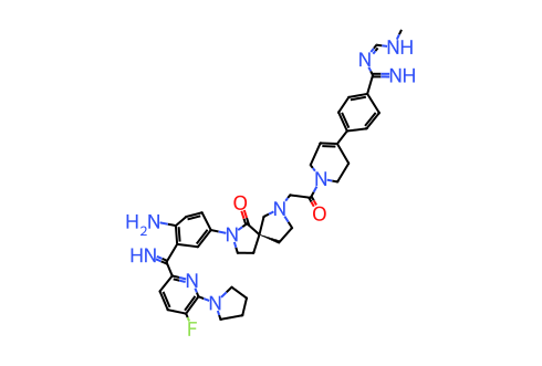 CN/C=N\C(=N)c1ccc(C2=CCN(C(=O)CN3CC[C@]4(CCN(c5ccc(N)c(C(=N)c6ccc(F)c(N7CCCC7)n6)c5)C4=O)C3)CC2)cc1